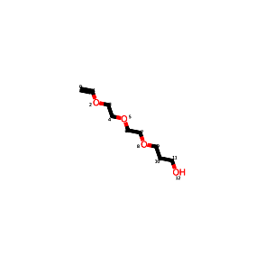 C=COCCOCCOCCCO